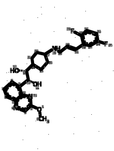 COc1cnc2cccc([C@@H](O)[C@H](O)C3CCC(NC/C=C/c4cc(F)ccc4F)CC3)c2n1